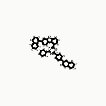 C1=CCC(c2nc(-c3ccc(-c4ccc5ccccc5c4)cc3)nc(-c3cccc4oc5cc(-c6cccc7ccccc67)ccc5c34)n2)C=C1